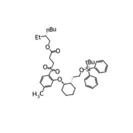 CCCC[C@@H](CC)COC(=O)CCS(=O)(=O)c1ccc(C)cc1O[C@@H]1CCCC[C@H]1CCO[Si](c1ccccc1)(c1ccccc1)C(C)(C)C